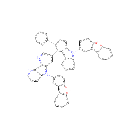 c1ccc(-c2ccc3c(c2-c2cnc4c5ncccc5n(-c5ccc6oc7ccccc7c6c5)c4c2)c2ccccc2n3-c2ccc3oc4ccccc4c3c2)cc1